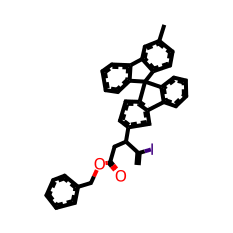 C=C(I)C(CC(=O)OCc1ccccc1)c1ccc2c(c1)-c1ccccc1C21c2ccccc2-c2cc(C)ccc21